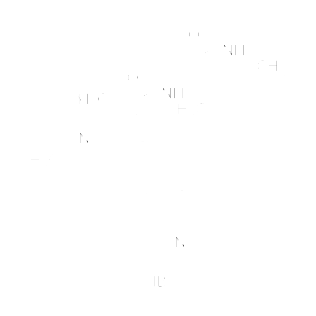 CCN(c1cc(-c2ccc(CN3CCBCC3)cc2)cc(C(=O)NCc2c(C)cc(C)[nH]c2=O)c1C)C1CCCCC1